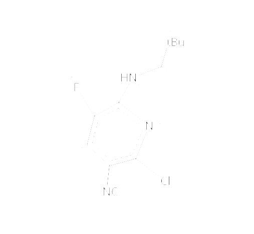 [C-]#[N+]c1cc(F)c(NCC(C)(C)C)nc1Cl